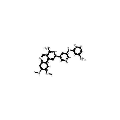 COc1cc2ncc3c(N)nc(-c4cncc(Oc5cc(N)ccn5)c4)cc3c2cc1OC